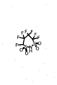 O=S1(=O)NS(=O)(=O)C(F)(F)C(F)(F)C(F)(F)C1F